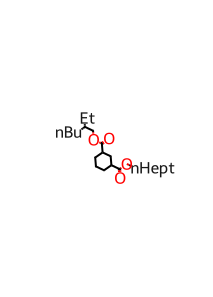 CCCCCCCOC(=O)C1CCCC(C(=O)OCC(CC)CCCC)C1